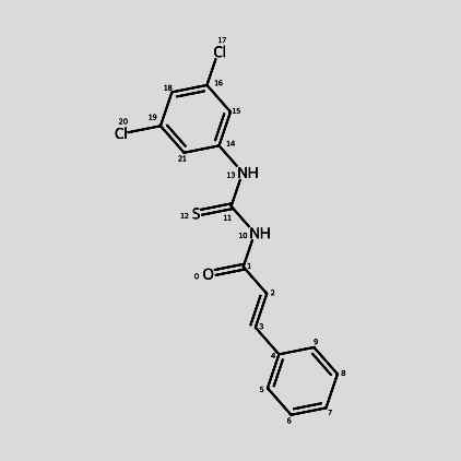 O=C(/C=C/c1ccccc1)NC(=S)Nc1cc(Cl)cc(Cl)c1